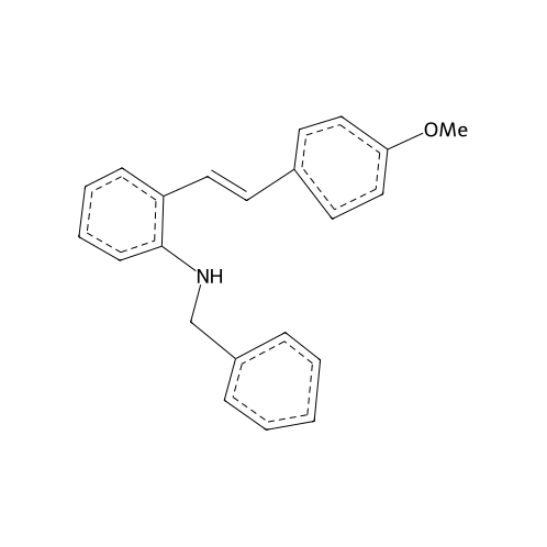 COc1ccc(/C=C/c2ccccc2NCc2ccccc2)cc1